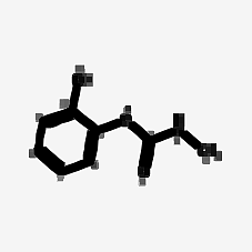 CNC(=O)Oc1ccccc1O